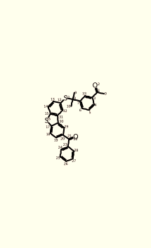 CC(=O)c1cccc(C(C)(C)Sc2ccc3sc4ccc(C(=O)c5ccccc5)cc4c3c2)c1